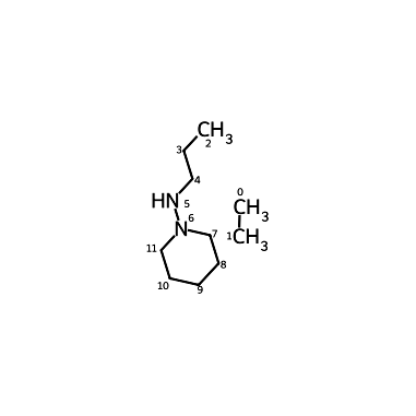 CC.CCCNN1CCCCC1